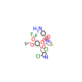 Nc1ccc(S(=O)(=O)N2CSCC2C(=O)OC(Cc2c(Cl)cncc2Cl)c2ccc(OC(F)F)c(OCC3CC3)c2)cc1